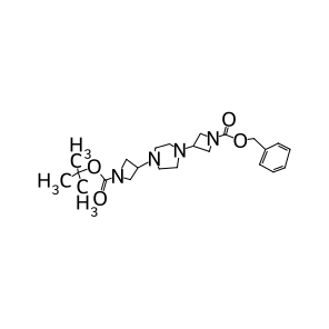 CC(C)(C)OC(=O)N1CC(N2CCN(C3CN(C(=O)OCc4ccccc4)C3)CC2)C1